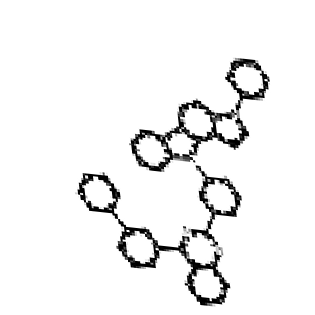 c1ccc(-c2cccc(-c3nc(-c4cccc(-n5c6ccccc6c6ccc7c(ccn7-c7ccccc7)c65)c4)nc4ccccc34)c2)cc1